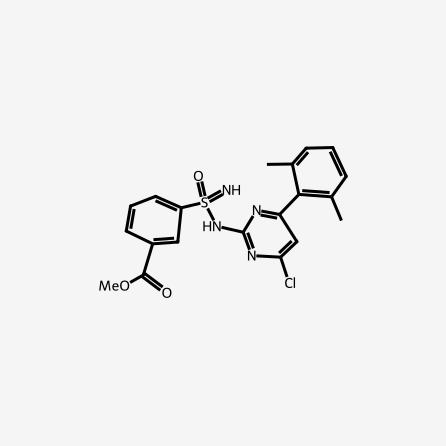 COC(=O)c1cccc(S(=N)(=O)Nc2nc(Cl)cc(-c3c(C)cccc3C)n2)c1